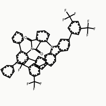 O=C1c2cccc(-n3c4cc(-c5cc(C(F)(F)F)cc(C(F)(F)F)c5)ccc4c4ccc(-c5cc(C(F)(F)F)cc(C(F)(F)F)c5)cc43)c2C(=O)N1c1c(-c2ccccc2)cc(-c2ccccc2)cc1-c1ccccc1